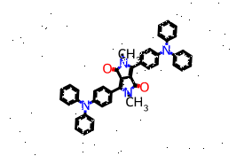 CN1C(=O)C2=C(c3ccc(N(c4ccccc4)c4ccccc4)cc3)N(C)C(=O)C2=C1c1ccc(N(c2ccccc2)c2ccccc2)cc1